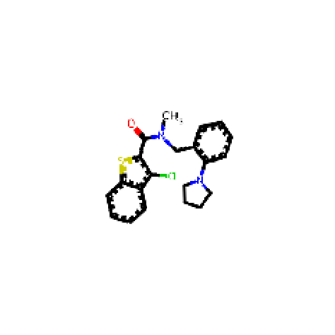 CN(Cc1ccccc1N1CCCC1)C(=O)c1sc2ccccc2c1Cl